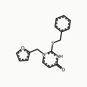 O=c1cc[n+](Cc2ccco2)c(SCc2ccccc2)[nH]1